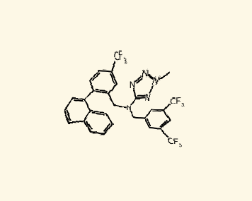 Cn1nnc(N(Cc2cc(C(F)(F)F)cc(C(F)(F)F)c2)Cc2cc(C(F)(F)F)ccc2-c2cccc3ccccc23)n1